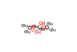 CC(C)(C)c1cc(C(C)(C)C)c(OP2C(O)CC3(CC2O)CC(O)P(Oc2c(C(C)(C)C)cc(C(C)(C)C)cc2C(C)(C)C)C(O)C3)c(C(C)(C)C)c1